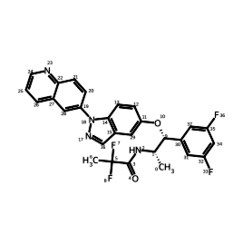 C[C@H](NC(=O)C(C)(F)F)[C@H](Oc1ccc2c(cnn2-c2ccc3ncccc3c2)c1)c1cc(F)cc(F)c1